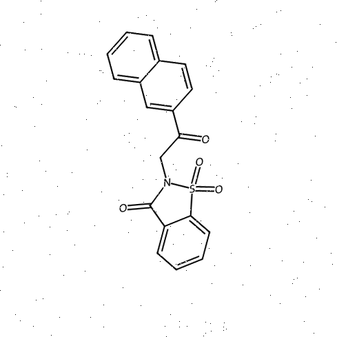 O=C(CN1C(=O)c2ccccc2S1(=O)=O)c1ccc2ccccc2c1